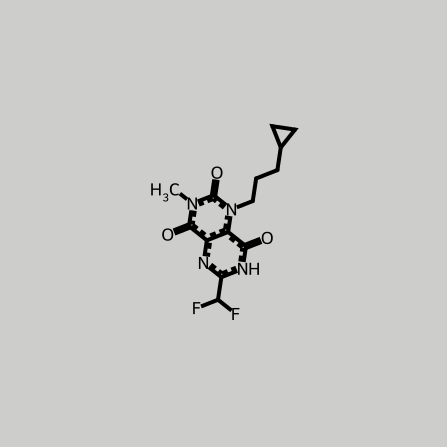 Cn1c(=O)c2nc(C(F)F)[nH]c(=O)c2n(CCCC2CC2)c1=O